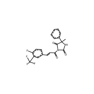 CC1(c2ccccc2)NC(=O)N(C(=O)C=Cc2ccc(F)c(C(F)(F)F)c2)C1=O